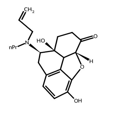 C=CCN(CCC)[C@@H]1Cc2ccc(O)c3c2C2[C@@H](O3)C(=O)CC[C@]21O